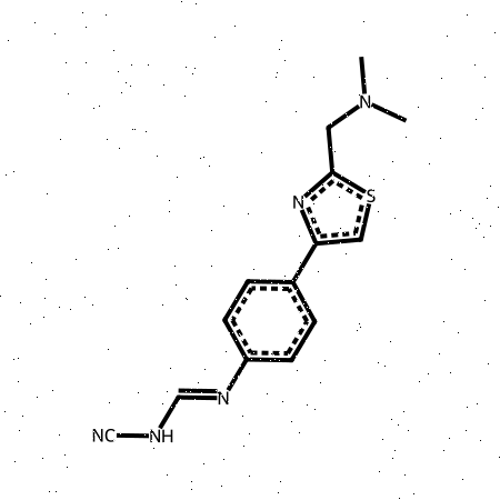 CN(C)Cc1nc(-c2ccc(N=CNC#N)cc2)cs1